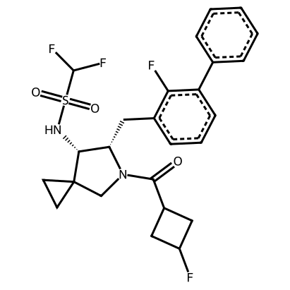 O=C(C1CC(F)C1)N1CC2(CC2)[C@H](NS(=O)(=O)C(F)F)[C@@H]1Cc1cccc(-c2ccccc2)c1F